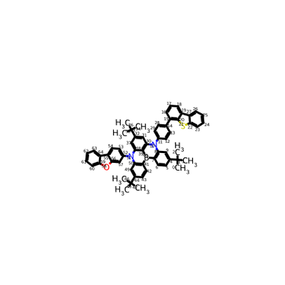 CC(C)(C)c1ccc2c(c1)N(c1ccc(-c3cccc4c3sc3ccccc34)cc1)c1cc(C(C)(C)C)cc3c1B2c1ccc(C(C)(C)C)cc1N3c1ccc2c(c1)oc1ccccc12